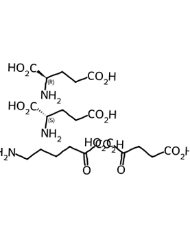 NCCCCC(=O)C(=O)O.N[C@@H](CCC(=O)O)C(=O)O.N[C@H](CCC(=O)O)C(=O)O.O=C(O)CCC(=O)C(=O)O